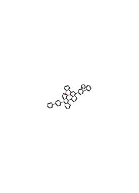 c1ccc(-c2ccc(-c3c4ccccc4c(-c4cccc5c(-c6ccc7c(c6)oc6ccccc67)cc6c7ccccc7ccc6c45)c4ccccc34)cc2)cc1